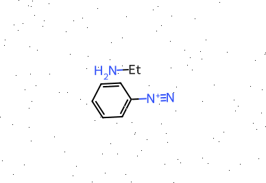 CCN.N#[N+]c1ccccc1